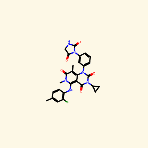 Cc1ccc(Nc2c3c(=O)n(C4CC4)c(=O)n(-c4cccc(N5C(=O)CNC5=O)c4)c3c(C)c(=O)n2C)c(F)c1